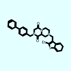 CCc1sc2c(c1CN1CCN3C(=O)CN(Cc4ccc(-c5cc#ccc5)cc4)C(=O)C3C1)=CCCC=2